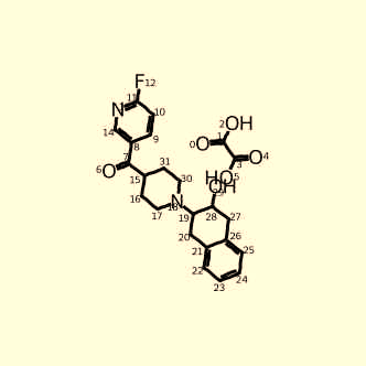 O=C(O)C(=O)O.O=C(c1ccc(F)nc1)C1CCN(C2Cc3ccccc3CC2O)CC1